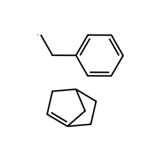 C1=C2CCC(C1)C2.[CH2]Cc1ccccc1